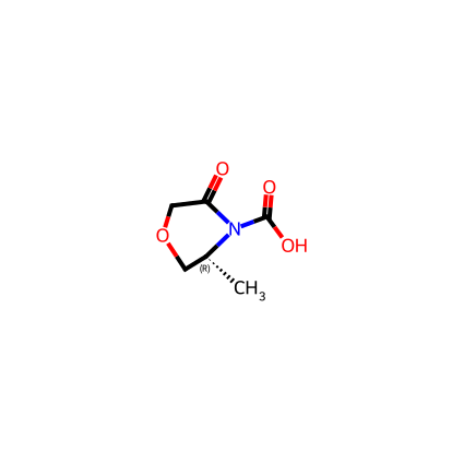 C[C@@H]1COCC(=O)N1C(=O)O